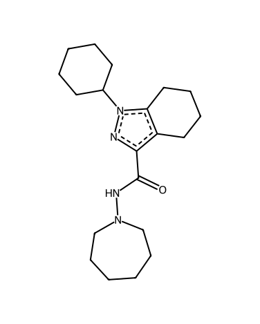 O=C(NN1CCCCCC1)c1nn(C2CCCCC2)c2c1CCCC2